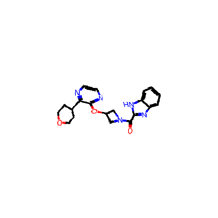 O=C(c1nc2ccccc2[nH]1)N1CC(Oc2nccnc2C2CCOCC2)C1